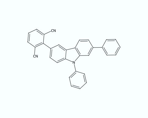 N#Cc1cccc(C#N)c1-c1ccc2c(c1)c1ccc(-c3ccccc3)cc1n2-c1ccccc1